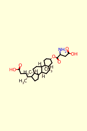 C[C@H](CCC(=O)O)C1CC[C@H]2[C@@H]3CC[C@@H]4C[C@@H](OC(=O)C(N)CC(=O)O)CC[C@]4(C)[C@H]3CC[C@]12C